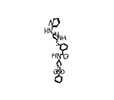 O=C(NC1CN(S(=O)(=O)c2ccccc2)C1)c1cccc(Sc2cc(Nc3ccccn3)n[nH]2)c1